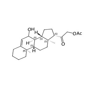 CC(=O)OCC(=O)[C@H]1CC[C@H]2[C@@H]3C(O)C=C4CCCC[C@]4(C)[C@H]3CC[C@]12C